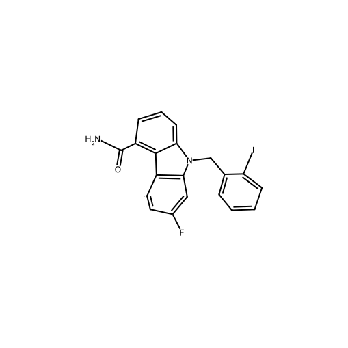 NC(=O)c1cccc2c1c1[c]cc(F)cc1n2Cc1ccccc1I